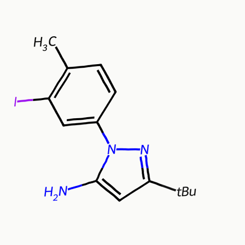 Cc1ccc(-n2nc(C(C)(C)C)cc2N)cc1I